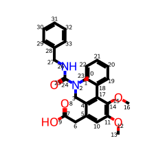 CCN(Cc1c(CC(=O)O)cc(OC)c(OC)c1-c1ccccc1)C(=O)NCc1ccccc1